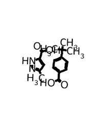 CC(C)(C)c1ccc(C(=O)O)cc1.Cc1cc(C(=O)O)[nH]n1